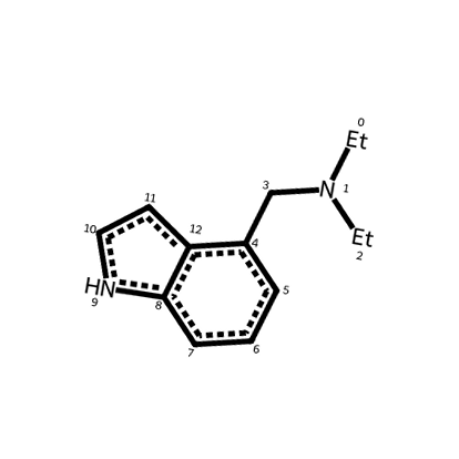 CCN(CC)Cc1cccc2[nH]ccc12